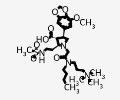 CCCCN(CCC[N+](C)(C)C)C(=O)CN1C[C@H](c2cc(OC)c3c(c2)OCO3)[C@@H](C(=O)O)[C@@H]1CCNS(C)(=O)=O